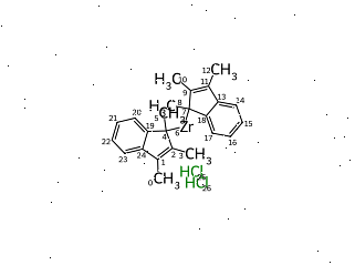 CC1=C(C)[C](C)([Zr][C]2(C)C(C)=C(C)c3ccccc32)c2ccccc21.Cl.Cl